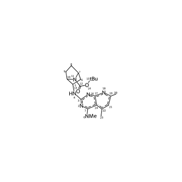 CNc1nc(NC2CC3CCC2N3C(=O)OC(C)(C)C)nc2nc(C)cc(C)c12